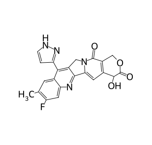 Cc1cc2c(-c3cc[nH]n3)c3c(nc2cc1F)-c1cc2c(c(=O)n1C3)COC(=O)C2O